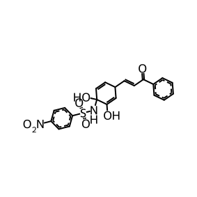 O=C(/C=C/C1C=CC(O)(NS(=O)(=O)c2ccc([N+](=O)[O-])cc2)C(O)=C1)c1ccccc1